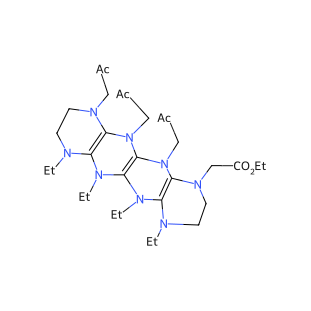 CCOC(=O)CN1CCN(CC)c2c1n(CC(C)=O)c1n(CC(C)=O)c3c(n(CC)c=1n2CC)N(CC)CCN3CC(C)=O